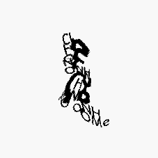 COC(=O)Nc1ccc2c(c1)NC(=O)[C@H](C)CCC[C@H](NC(=O)c1noc(-c3cccc(Cl)c3F)c1C)c1cc-2ccn1